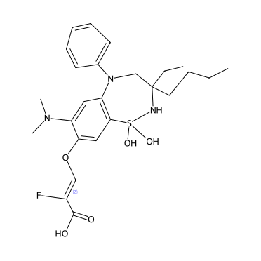 CCCCC1(CC)CN(c2ccccc2)c2cc(N(C)C)c(O/C=C(\F)C(=O)O)cc2S(O)(O)N1